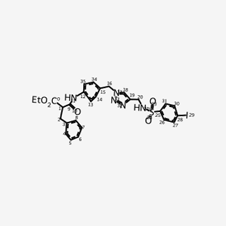 CCOC(=O)C(Cc1ccccc1)C(=O)Nc1ccc(Cn2cc(CNS(=O)(=O)c3ccc(I)cc3)nn2)cc1